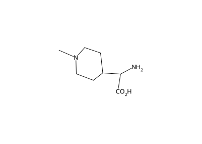 CN1CCC(C(N)C(=O)O)CC1